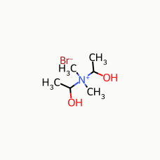 CC(O)[N+](C)(C)C(C)O.[Br-]